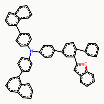 c1ccc(-c2ccc(-c3ccc(N(c4ccc(-c5cccc6ccccc56)cc4)c4ccc(-c5cccc6ccccc56)cc4)cc3)cc2-c2cc3ccccc3o2)cc1